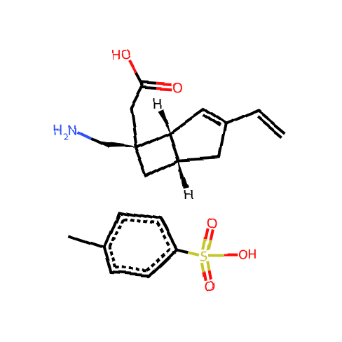 C=CC1=C[C@@H]2[C@H](C1)C[C@]2(CN)CC(=O)O.Cc1ccc(S(=O)(=O)O)cc1